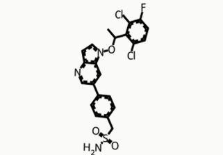 CC(On1ccc2ncc(-c3ccc(CS(N)(=O)=O)cc3)cc21)c1c(Cl)ccc(F)c1Cl